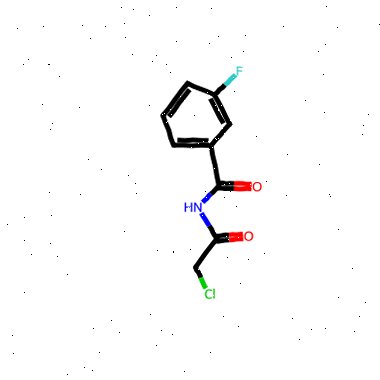 O=C(CCl)NC(=O)c1cccc(F)c1